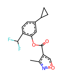 Cc1nocc1C(=O)Oc1cc(C2CC2)ccc1C(F)F